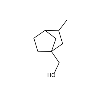 CC1CC2(CO)CCC1C2